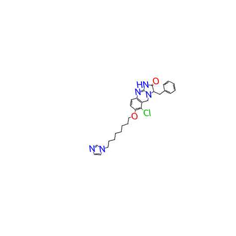 O=C1NC2=Nc3ccc(OCCCCCCCCn4ccnc4)c(Cl)c3CN2C1Cc1ccccc1